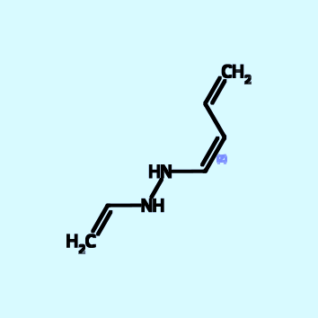 C=C/C=C\NNC=C